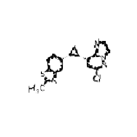 Cc1nc2cc([C@@H]3C[C@@H]3c3cc(Cl)nn4ccnc34)ccc2s1